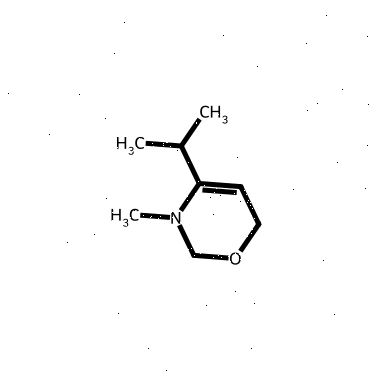 CC(C)C1=CCOCN1C